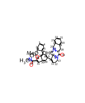 COc1ccccc1-c1cc(C2=CCCN(C(=O)[C@H]3Cc4ccccc4CN3C=O)C2)cc2cc(C(=O)N(C)C)oc12